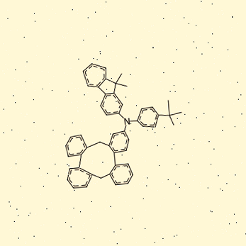 CC(C)(C)c1ccc(N(c2ccc3c(c2)Cc2ccccc2-c2ccccc2Cc2ccccc2-3)c2ccc3c(c2)C(C)(C)c2ccccc2-3)cc1